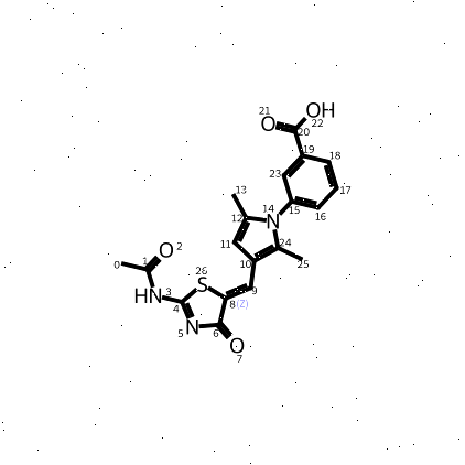 CC(=O)NC1=NC(=O)/C(=C/c2cc(C)n(-c3cccc(C(=O)O)c3)c2C)S1